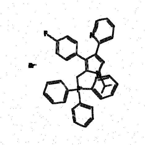 CC(C)n1cc(-c2ccccn2)c(-c2ccc(F)cc2)c1C[P+](c1ccccc1)(c1ccccc1)c1ccccc1.[Br-]